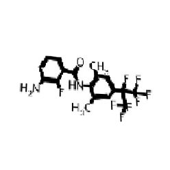 Cc1cc(C(F)(C(F)(F)F)C(F)(F)F)cc(C)c1NC(=O)c1cccc(N)c1F